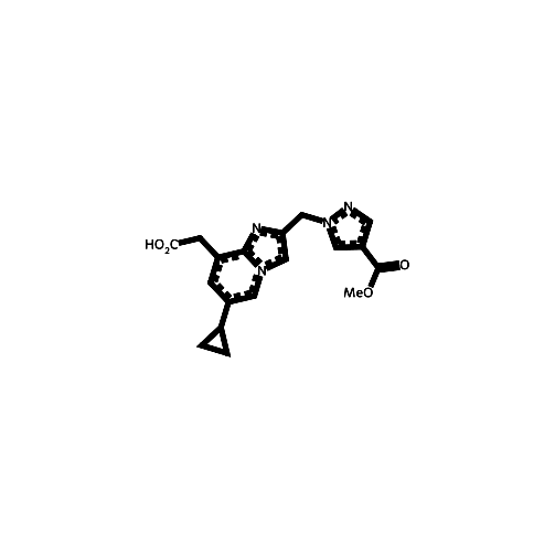 COC(=O)c1cnn(Cc2cn3cc(C4CC4)cc(CC(=O)O)c3n2)c1